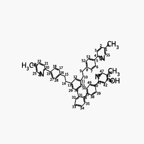 Cc1ccc(-c2ccc(CCc3cc(CCc4ccc(-c5ccc(C)cn5)cc4)cc(-c4ccccc4-c4ccc(-c5cc(O)c(C)cn5)cc4)c3)cc2)nc1